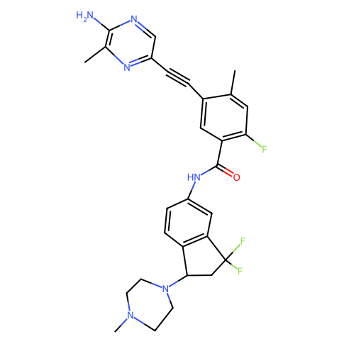 Cc1cc(F)c(C(=O)Nc2ccc3c(c2)C(F)(F)CC3N2CCN(C)CC2)cc1C#Cc1cnc(N)c(C)n1